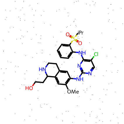 COc1cc2c(cc1Nc1ncc(Cl)c(Nc3ccccc3S(=O)(=O)C(C)C)n1)CCNC2CCO